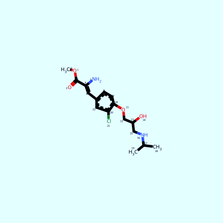 COC(=O)C(N)=Cc1ccc(OCC(O)CNC(C)C)c(Cl)c1